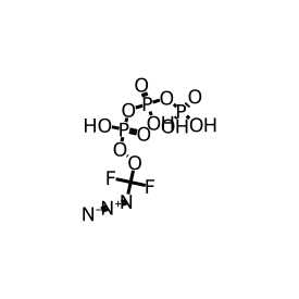 [N-]=[N+]=NC(F)(F)OOP(=O)(O)OP(=O)(O)OP(=O)(O)O